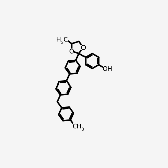 Cc1ccc(Cc2ccc(-c3ccc(C4(c5ccc(O)cc5)OCC(C)O4)cc3)cc2)cc1